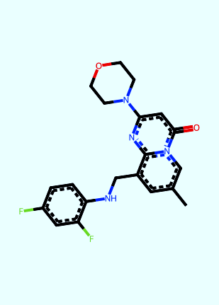 Cc1cc(CNc2ccc(F)cc2F)c2nc(N3CCOCC3)cc(=O)n2c1